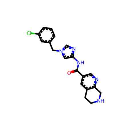 O=C(Nc1cn(Cc2cccc(Cl)c2)cn1)c1cnc2c(c1)CCNC2